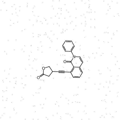 O=C1CC(C#Cc2cccc3ccn(-c4ccccc4)c(=O)c23)CO1